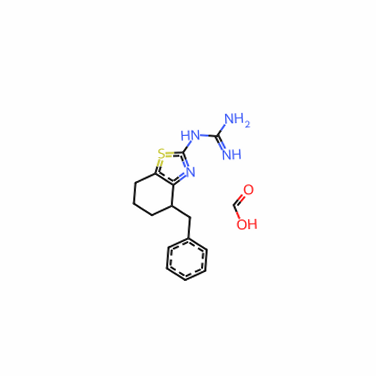 N=C(N)Nc1nc2c(s1)CCCC2Cc1ccccc1.O=CO